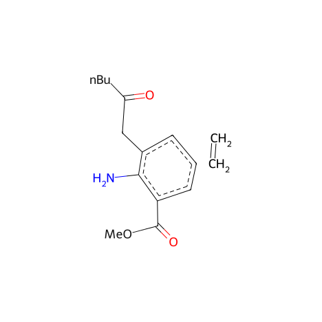 C=C.CCCCC(=O)Cc1cccc(C(=O)OC)c1N